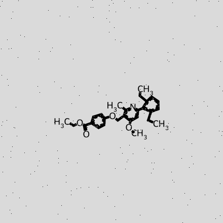 CCOC(=O)c1ccc(OCc2c(OC)cc(-c3c(CC)cccc3CC)nc2C)cc1